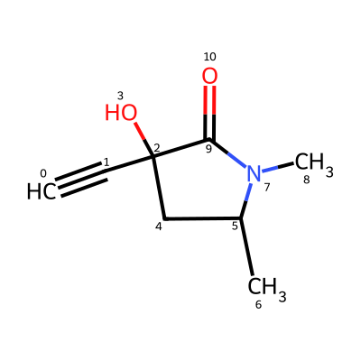 C#CC1(O)CC(C)N(C)C1=O